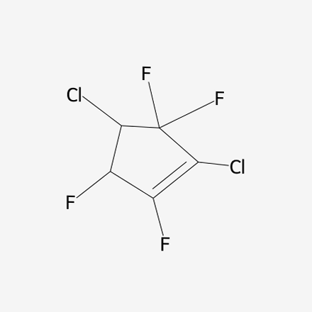 FC1=C(Cl)C(F)(F)C(Cl)C1F